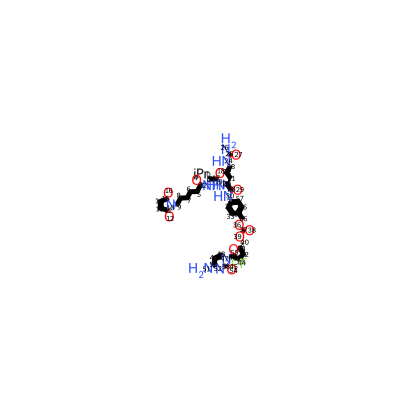 CC(C)[C@H](NC(=O)CCCCCN1C(=O)C=CC1=O)C(=O)N[C@@H](CCCNC(N)=O)C(=O)Nc1ccc(COC(=O)OC[C@@H]2CC(F)(F)[C@H](n3ccc(N)nc3=O)O2)cc1